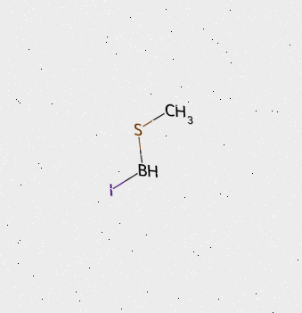 CSBI